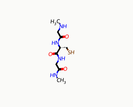 CNCC(=O)N[C@H](CS)C(=O)NCC(=O)NC